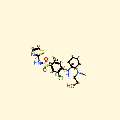 CN(CCO)[C@H]1CCCC[C@@H]1Nc1cc(F)c(S(=O)(=O)Nc2nccs2)cc1Cl